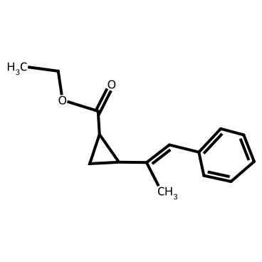 CCOC(=O)C1CC1C(C)=Cc1ccccc1